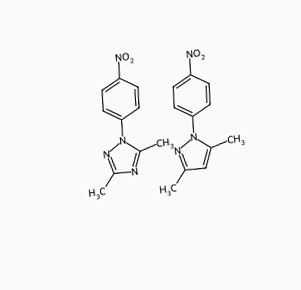 Cc1cc(C)n(-c2ccc([N+](=O)[O-])cc2)n1.Cc1nc(C)n(-c2ccc([N+](=O)[O-])cc2)n1